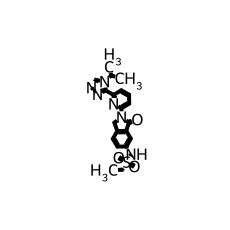 CCS(=O)(=O)Nc1ccc2c(c1)C(=O)N(c1cccc(-c3nncn3C(C)C)n1)C2